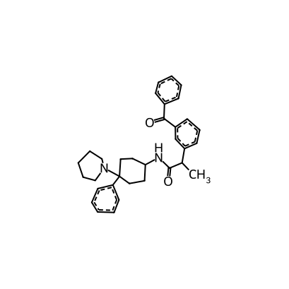 CC(C(=O)NC1CCC(c2ccccc2)(N2CCCCC2)CC1)c1cccc(C(=O)c2ccccc2)c1